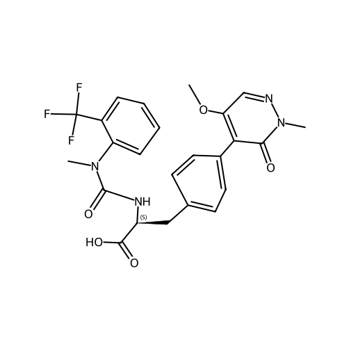 COc1cnn(C)c(=O)c1-c1ccc(C[C@H](NC(=O)N(C)c2ccccc2C(F)(F)F)C(=O)O)cc1